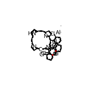 Clc1cccc(Cl)c1-c1c(-c2c(Cl)cccc2Cl)c2c(-c3c(Cl)cccc3Cl)c3nc(cc4ccc(cc5nc(cc1n2-c1c(Cl)cccc1Cl)C=C5)[nH]4)C=C3.[Al]